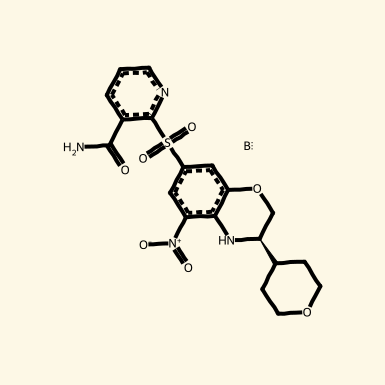 NC(=O)c1cccnc1S(=O)(=O)c1cc2c(c([N+](=O)[O-])c1)N[C@H](C1CCOCC1)CO2.[B]